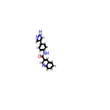 O=C(Nc1ccc(-c2cn[nH]c2)cc1)c1cnc2ccccc2c1